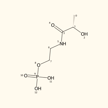 C[C@H](O)C(=O)NCCOP(=O)(O)O